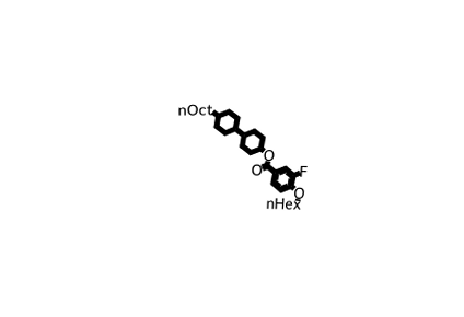 CCCCCCCCC1CCC(C2CCC(OC(=O)c3ccc(OCCCCCC)c(F)c3)CC2)CC1